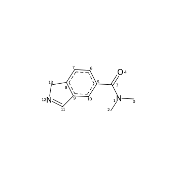 CN(C)C(=O)c1ccc2c(c1)C=NC2